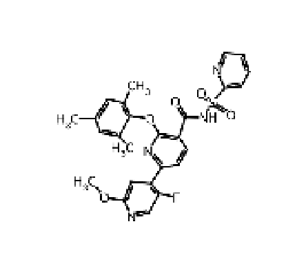 COc1cc(-c2ccc(C(=O)NS(=O)(=O)c3ccccn3)c(Oc3c(C)cc(C)cc3C)n2)c(F)cn1